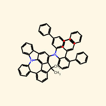 CC1(C)c2cccc3c2-c2c1c(N(c1cc(-c4ccccc4)cc(-c4ccccc4)c1)c1cccc(-c4ccccc4)c1-c1ccccc1)cc1c4ccccc4n(c21)-c1ccccc1-3